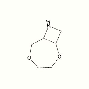 C1COC2CNC2CO1